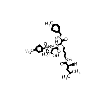 Cc1ccc(CNC(=O)[C@H](CCCCNC(=O)C(C#N)=CC(C)C)NC(=O)[C@@H](NS(=O)(=O)c2ccc(C)cc2)[C@@H](C)O)cc1